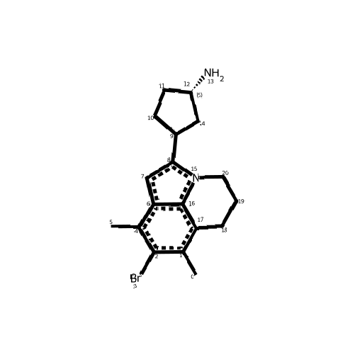 Cc1c(Br)c(C)c2cc(C3CC[C@H](N)C3)n3c2c1CCC3